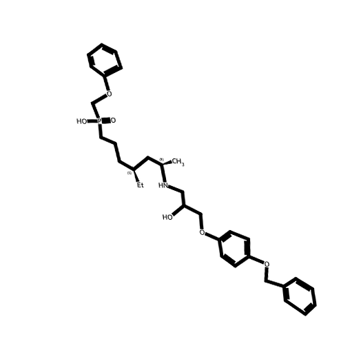 CC[C@@H](CCCP(=O)(O)COc1ccccc1)C[C@@H](C)NCC(O)COc1ccc(OCc2ccccc2)cc1